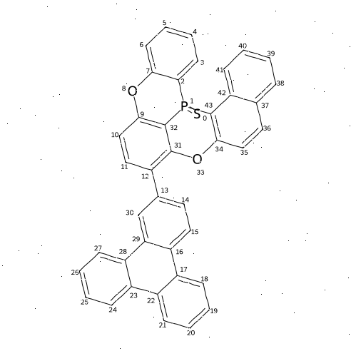 S=P12c3ccccc3Oc3ccc(-c4ccc5c6ccccc6c6ccccc6c5c4)c(c31)Oc1ccc3ccccc3c12